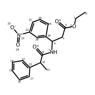 CCOC(=O)CC(NC(=O)C(C)c1ccccc1)c1cccc([N+](=O)[O-])c1